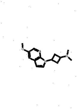 COc1cnc2c(ccn2C2CC(N(C)C)C2)c1